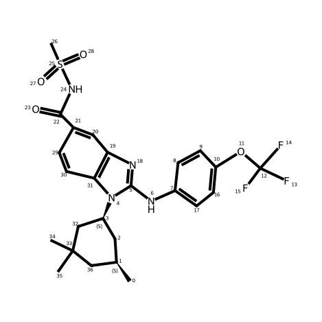 C[C@@H]1C[C@H](n2c(Nc3ccc(OC(F)(F)F)cc3)nc3cc(C(=O)NS(C)(=O)=O)ccc32)CC(C)(C)C1